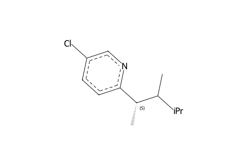 CC(C)C(C)[C@H](C)c1ccc(Cl)cn1